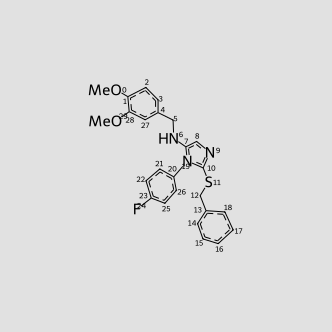 COc1ccc(CNc2cnc(SCc3ccccc3)n2-c2ccc(F)cc2)cc1OC